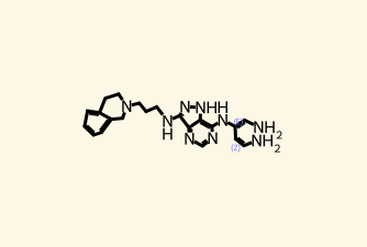 N/C=C\C(=C/N)Nc1ncnc2c(NCCCN3CCc4ccccc4C3)n[nH]c12